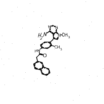 Cc1cc(NC(=O)Cc2ccc3ccccc3c2)ccc1-c1cn(C)c2ncnc(N)c12